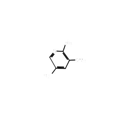 COc1cc(C)cnc1C(C)(C)C